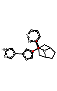 O=C(c1csc(-c2cn[nH]c2)c1)N1C2CCC1CC(O)(c1cccnn1)C2